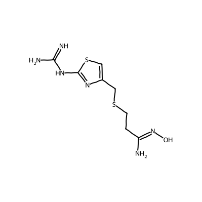 N=C(N)Nc1nc(CSCCC(N)=NO)cs1